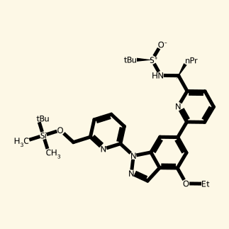 CCC[C@H](N[S@+]([O-])C(C)(C)C)c1cccc(-c2cc(OCC)c3cnn(-c4cccc(CO[Si](C)(C)C(C)(C)C)n4)c3c2)n1